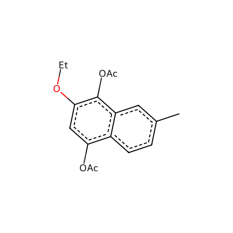 CCOc1cc(OC(C)=O)c2ccc(C)cc2c1OC(C)=O